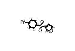 CC(C)c1ccc(S(=O)(=O)c2ccoc2)cc1